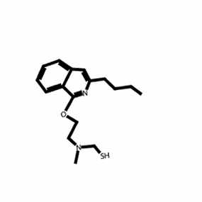 CCCCc1cc2ccccc2c(OCCN(C)CS)n1